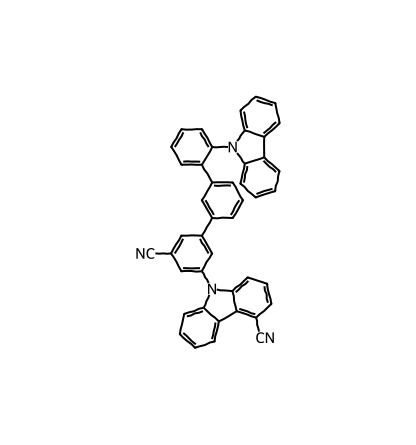 N#Cc1cc(-c2cccc(-c3ccccc3-n3c4ccccc4c4ccccc43)c2)cc(-n2c3ccccc3c3c(C#N)cccc32)c1